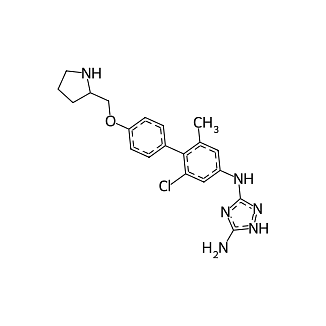 Cc1cc(Nc2n[nH]c(N)n2)cc(Cl)c1-c1ccc(OCC2CCCN2)cc1